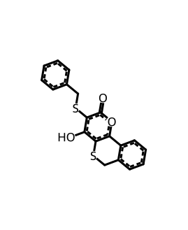 O=c1oc2c(c(O)c1SCc1ccccc1)SCc1ccccc1-2